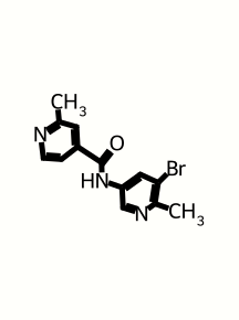 Cc1cc(C(=O)Nc2cnc(C)c(Br)c2)ccn1